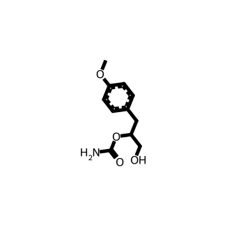 COc1ccc(CC(CO)OC(N)=O)cc1